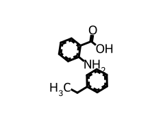 CCc1ccccc1.Nc1ccccc1C(=O)O